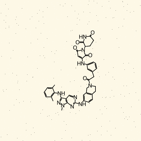 Cc1cccc(C)c1Nc1nn(C)c2nc(Nc3ccc4c(c3)CN(C(=O)Cc3cccc(NC5=CC(=O)N(C6CCC(=O)NC6=O)C5=O)c3)CC4)ncc12